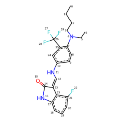 CCCCN(CC)c1ccc(NC=C2C(=O)Nc3cccc(F)c32)cc1C(F)(F)F